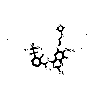 COc1c(OCCOC2COC2)cc2c(NC(C)c3cccc(C(F)(F)C(C)(C)O)c3F)nc(C)nc2c1F